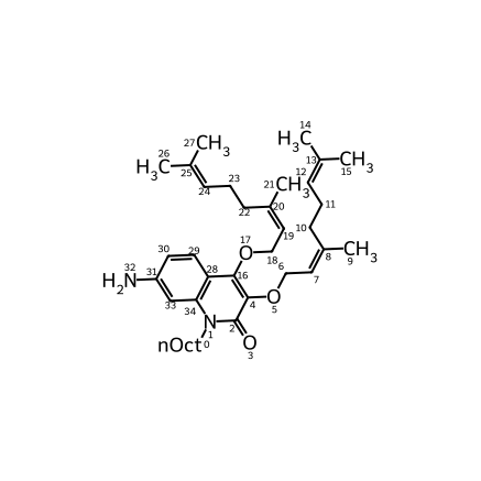 CCCCCCCCn1c(=O)c(OCC=C(C)CCC=C(C)C)c(OCC=C(C)CCC=C(C)C)c2ccc(N)cc21